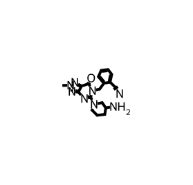 Cn1nc2nc(N3CCCC(N)C3)n(Cc3ccccc3C#N)c(=O)c2n1